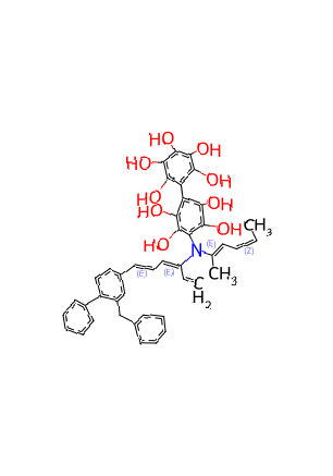 C=C/C(=C\C=C\c1ccc(-c2ccccc2)c(Cc2ccccc2)c1)N(/C(C)=C/C=C\C)c1c(O)c(O)c(-c2c(O)c(O)c(O)c(O)c2O)c(O)c1O